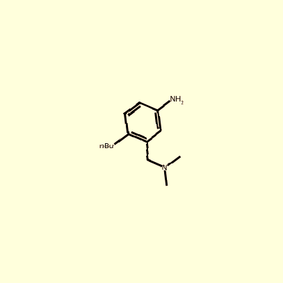 CCCCc1ccc(N)cc1CN(C)C